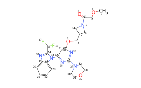 COCC(=O)N1CC(COc2cc(-n3c(C(F)F)nc4ccccc43)nc(N3CCOCC3)n2)C1